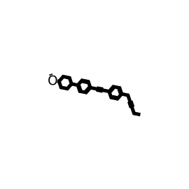 CCC#CCc1ccc(C#Cc2ccc(C3CCC(OC)CC3)cc2)cc1